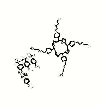 Cc1ccc(S(=O)(=O)O)cc1.Cc1ccc(S(=O)(=O)O)cc1.Cc1ccc(S(=O)(=O)O)cc1.Cc1ccc(S(=O)(=O)O)cc1.OCCOCCN1C=CC(c2c3nc(c(C4=CCN(CCOCCO)C=C4)c4ccc([nH]4)c(C4=CCN(CCOCCO)C=C4)c4nc(c(C5=CCN(CCOCCO)C=C5)c5ccc2[nH]5)C=C4)C=C3)=CC1